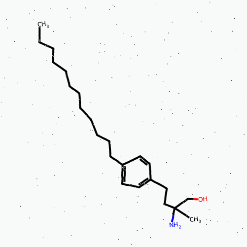 CCCCCCCCCCCCc1ccc(CCC(C)(N)CO)cc1